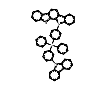 c1ccc([Si](c2ccccc2)(c2ccc(-n3c4ccccc4c4ccc5c6ccccc6sc5c43)cc2)c2cccc(-n3c4ccccc4c4ccccc43)c2)cc1